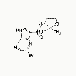 CC(C)c1cnc2[nH]cc(C(=O)NC3CCOC3(C)C)c2n1